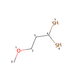 COCCC(S)S